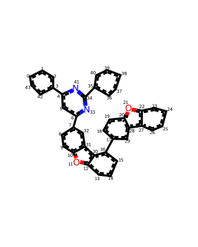 c1ccc(-c2cc(-c3ccc4oc5cccc(-c6ccc7oc8ccccc8c7c6)c5c4c3)nc(-c3ccccc3)n2)cc1